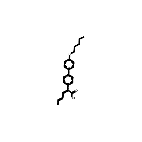 CC=CC=C(C(=O)O)c1ccc(-c2ccc(OCCCCC)cc2)cc1